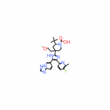 COCCC1(c2nc(-c3ccc(F)c(C)n3)c(-c3ccc4ncnn4c3)[nH]2)CCN(C(=O)O)C(C(C)(C)C)C1